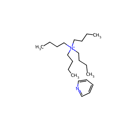 CCCC[N+](CCCC)(CCCC)CCCC.c1ccncc1